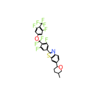 CC1CCC(c2ccc3nc(-c4cc(F)c(C(F)(F)Oc5cc(F)c(C(F)(F)F)c(F)c5)c(F)c4)sc3c2)OC1